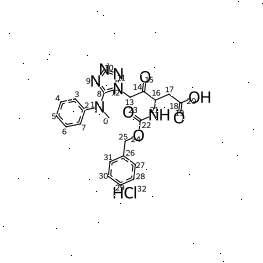 CN(c1ccccc1)c1nnnn1CC(=O)C(CC(=O)O)NC(=O)OCc1ccccc1.Cl